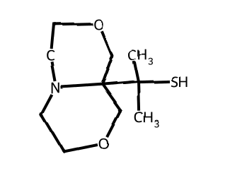 CC(C)(S)C12COCCN1CCOC2